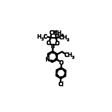 CCc1c(Oc2ccc(Cl)cc2)cncc1B1OC(C)(C)C(C)(C)O1